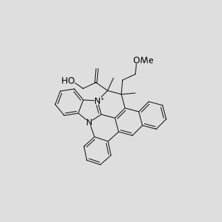 C=C(CO)C1(C)[n+]2c3ccccc3n3c4ccccc4c4cc5ccccc5c(c4c32)C1(C)CCOC